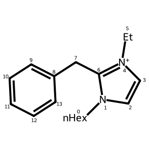 CCCCCCn1cc[n+](CC)c1Cc1ccccc1